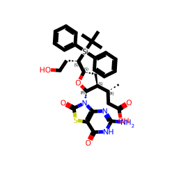 C[C@H](CC(=O)O)[C@@H]1C[C@@H]([C@H](CCO)[Si](c2ccccc2)(c2ccccc2)C(C)(C)C)O[C@H]1n1c(=O)sc2c(=O)[nH]c(N)nc21